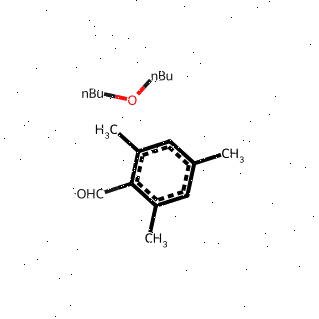 CCCCOCCCC.Cc1cc(C)c([C]=O)c(C)c1